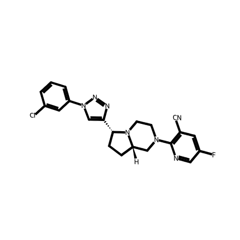 N#Cc1cc(F)cnc1N1CCN2[C@@H](CC[C@@H]2c2cn(-c3cccc(Cl)c3)nn2)C1